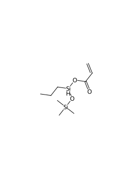 C=CC(=O)O[SiH](CCC)O[Si](C)(C)C